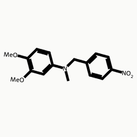 COc1ccc(N(C)Cc2ccc([N+](=O)[O-])cc2)cc1OC